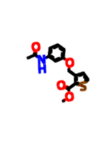 COC(=O)c1sccc1COc1cccc(NC(C)=O)c1